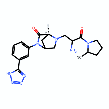 N#CC1CCCN1C(=O)C(N)CN1CC2C[C@H]1C(=O)N2c1cccc(-c2nnn[nH]2)c1